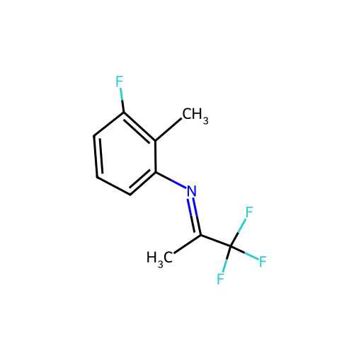 C/C(=N\c1cccc(F)c1C)C(F)(F)F